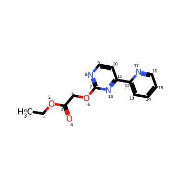 CCOC(=O)COc1nccc(-c2ccccn2)n1